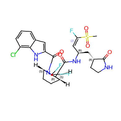 CS(=O)(=O)/C(F)=C\[C@@H](C[C@H]1CCNC1=O)NC(=O)[C@H]1[C@@H]2CC[C@@H](CC2(F)F)N1C(=O)c1cc2cccc(Cl)c2[nH]1